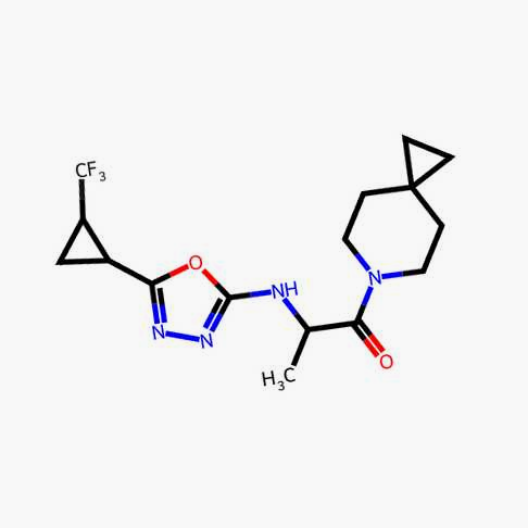 CC(Nc1nnc(C2CC2C(F)(F)F)o1)C(=O)N1CCC2(CC1)CC2